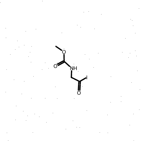 COC(=O)NCC(=O)I